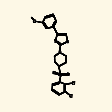 COc1cccc(-c2csc(N3CCC(S(=O)(=O)c4cccc(Cl)c4Cl)CC3)n2)c1